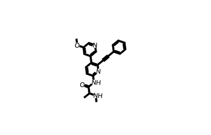 CNC(C)C(=O)Nc1ccc(-c2cncc(OC)c2)c(C#Cc2ccccc2)n1